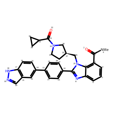 CNC(=O)c1cccc2nc(-c3ccc(-c4ccc5[nH]ncc5c4)cc3)n(C[C@H]3CCN(C(=O)C4CC4)C3)c12